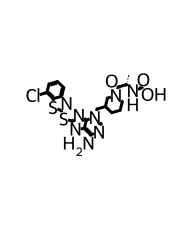 C[C@H](NC(=O)O)C(=O)N1CCCC(Cn2cnc(N)c3nc(Sc4nc5cccc(Cl)c5s4)nc2-3)C1